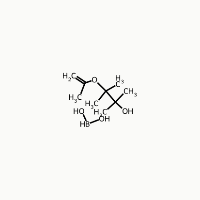 C=C(C)OC(C)(C)C(C)(C)O.OBO